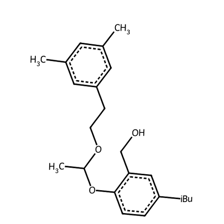 CCC(C)c1ccc(OC(C)OCCc2cc(C)cc(C)c2)c(CO)c1